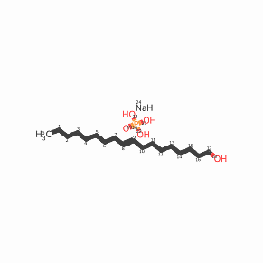 CCCCCCCCC=CCCCCCCCCO.O=P(O)(O)O.[NaH]